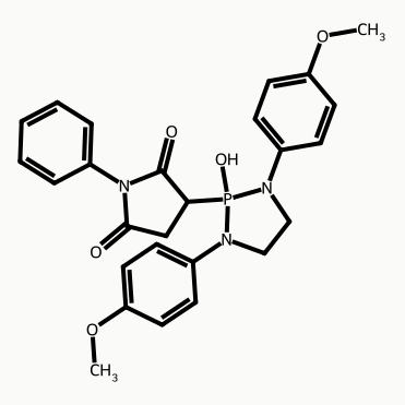 COc1ccc(N2CCN(c3ccc(OC)cc3)[P]2(O)C2CC(=O)N(c3ccccc3)C2=O)cc1